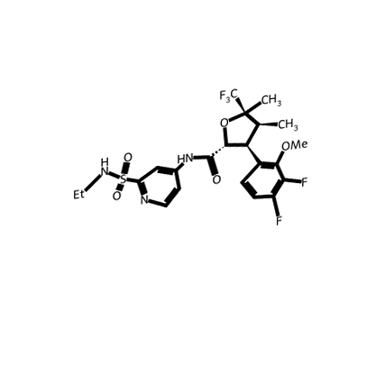 CCNS(=O)(=O)c1cc(NC(=O)[C@@H]2O[C@@](C)(C(F)(F)F)[C@@H](C)[C@H]2c2ccc(F)c(F)c2OC)ccn1